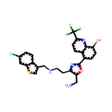 NCc1oc(-c2ccc(O)c3nc(C(F)(F)F)ccc23)nc1CCNCc1csc2cc(Cl)ccc12